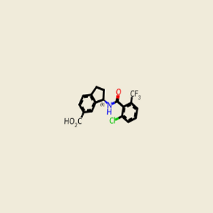 O=C(O)c1ccc2c(c1)[C@H](NC(=O)c1c(Cl)cccc1C(F)(F)F)CC2